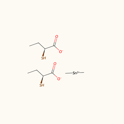 CC[C@H](S)C(=O)[O-].CC[C@H](S)C(=O)[O-].[CH3][Sn+2][CH3]